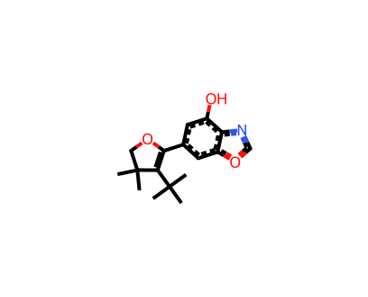 CC(C)(C)C1=C(c2cc(O)c3ncoc3c2)OCC1(C)C